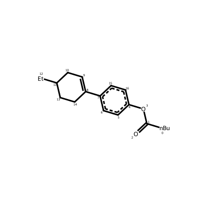 CCCCC(=O)Oc1ccc(C2=CCC(CC)CC2)cc1